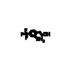 Nc1cc(C(F)(F)F)ccc1CCO